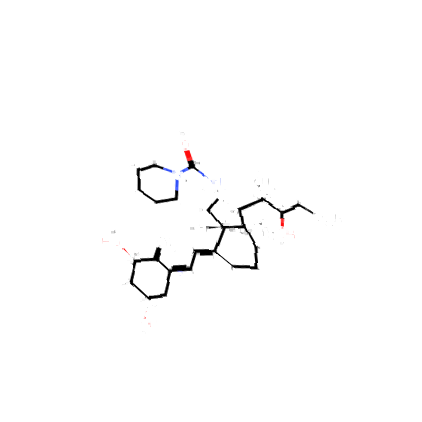 C=C1/C(=C\C=C2CCC[C@]3(C)[C@@H]([C@H](C)C(O)CC(=O)O)CC[C@@H]23)C[C@H](O)C[C@H]1O.NC(=O)N1CCCCC1